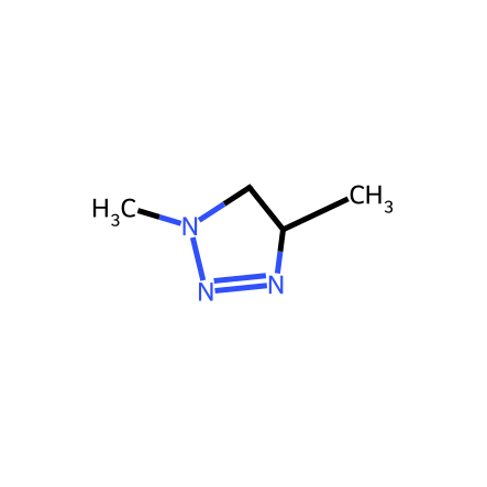 CC1CN(C)N=N1